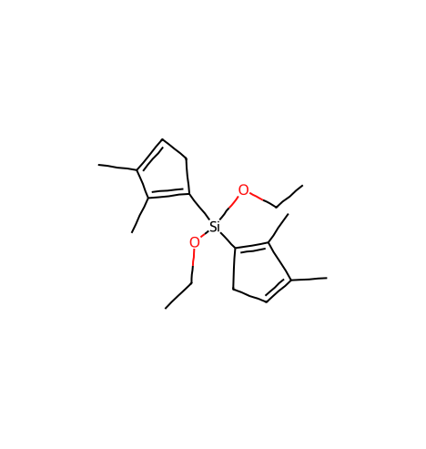 CCO[Si](OCC)(C1=C(C)C(C)=CC1)C1=C(C)C(C)=CC1